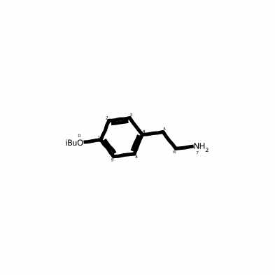 CC(C)COc1ccc(CCN)cc1